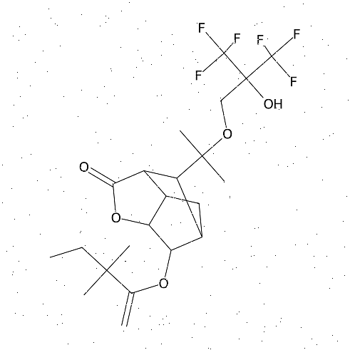 C=C(OC1C2CC3C1OC(=O)C3C2C(C)(C)OCC(O)(C(F)(F)F)C(F)(F)F)C(C)(C)CC